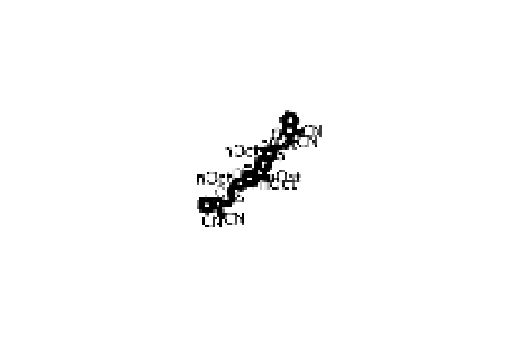 [C-]#[N+]/C(C#N)=C1/C(=C/c2cc3c(s2)-c2cc4c(cc2C3(CCCCCCCC)CCCCCCCC)-c2cc3c(cc2C4(CCCCCCCC)CCCCCCCC)-c2sc(/C=C4\C(=O)c5ccccc5C4=C(C#N)C#N)cc2C3(CCCCCCCC)CCCCCCCC)C(=O)c2ccccc21